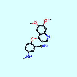 CNc1ccc(Oc2ccnc3cc(OC)c(OC)cc23)c(C#N)c1